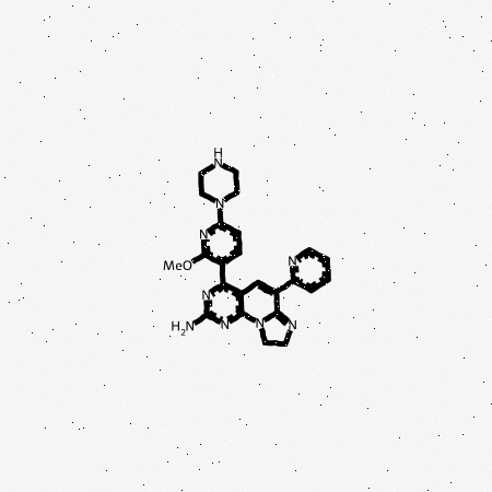 COc1nc(N2CCNCC2)ccc1-c1nc(N)nc2c1C=C(c1ccccn1)C1=NCCN12